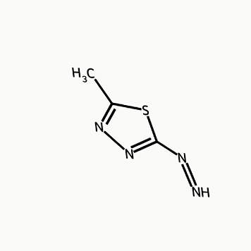 Cc1nnc(N=N)s1